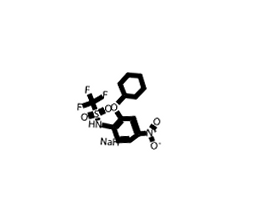 O=[N+]([O-])c1ccc(NS(=O)(=O)C(F)(F)F)c(OC2CCCCC2)c1.[NaH]